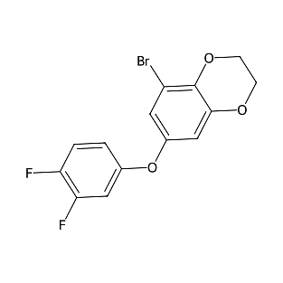 Fc1ccc(Oc2cc(Br)c3c(c2)OCCO3)cc1F